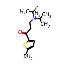 Bc1ccc(C(=O)CCN(C(C)C)C(C)C)s1